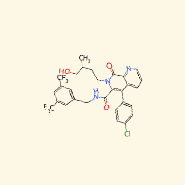 C[C@@H](CO)CCn1c(C(=O)NCc2cc(C(F)(F)F)cc(C(F)(F)F)c2)c(-c2ccc(Cl)cc2)c2cccnc2c1=O